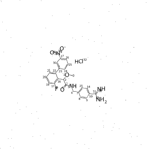 COC(C(=O)NCc1ccc(C(=N)N)cc1)c1c(F)cccc1-c1cccc([N+](=O)[O-])c1.Cl